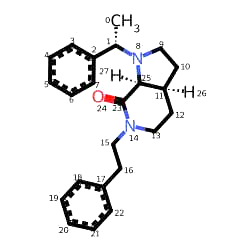 C[C@@H](c1ccccc1)N1CC[C@H]2CCN(CCc3ccccc3)C(=O)[C@H]21